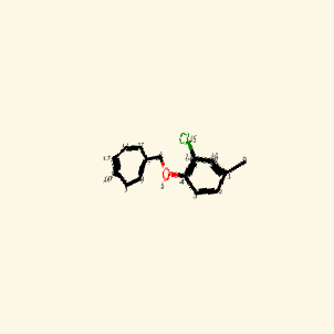 Cc1ccc(OCC2=CCC=CC=C2)c(Cl)c1